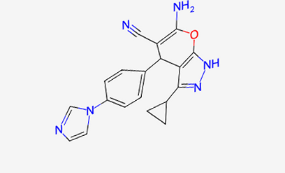 N#CC1=C(N)Oc2[nH]nc(C3CC3)c2C1c1ccc(-n2ccnc2)cc1